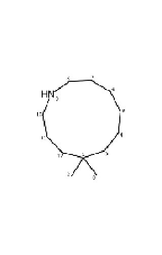 CC1(C)CCCCCCNCCC1